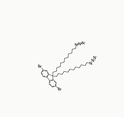 [N-]=[N+]=NCCCCCCCCCCCCC1(CCCCCCCCCCCCN=[N+]=[N-])c2cc(Br)ccc2-c2ccc(Br)cc21